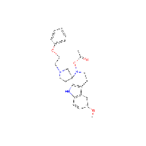 COc1ccc2[nH]c3c(c2c1)CCN(OC(C)=O)C31CCN(CCOc2ccccc2)C1